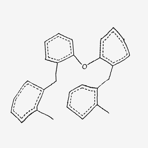 Cc1ccccc1Cc1ccccc1Oc1ccccc1Cc1ccccc1C